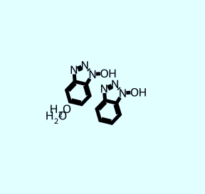 O.O.On1nnc2ccccc21.On1nnc2ccccc21